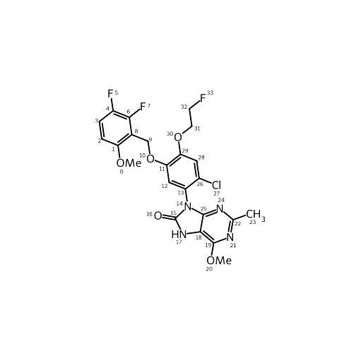 COc1ccc(F)c(F)c1COc1cc(-n2c(=O)[nH]c3c(OC)nc(C)nc32)c(Cl)cc1OCCF